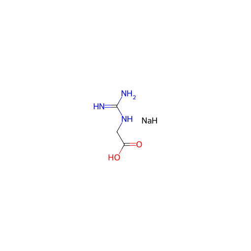 N=C(N)NCC(=O)O.[NaH]